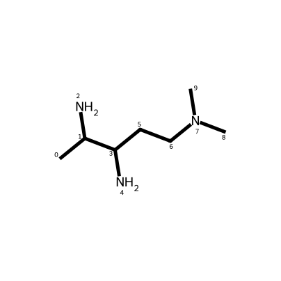 CC(N)C(N)CCN(C)C